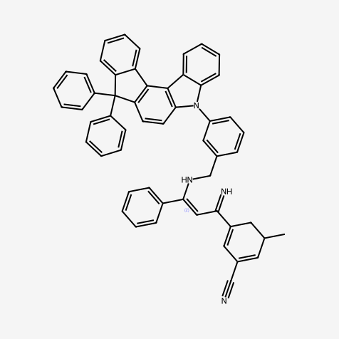 CC1C=C(C#N)C=C(C(=N)/C=C(\NCc2cccc(-n3c4ccccc4c4c5c(ccc43)C(c3ccccc3)(c3ccccc3)c3ccccc3-5)c2)c2ccccc2)C1